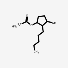 CCCCCC1C(O)CCC1OC(C)=O.[NaH]